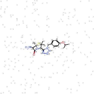 CC(C)Oc1ccc(Cn2nnnc2C2N3C(=O)C(N)[C@H]3SC2(C)C)cc1